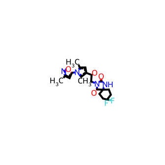 Cc1cc(-n2c(C)cc(C(=O)CN3C(=O)NC4(CCC(F)(F)CC4)C3=O)c2C)on1